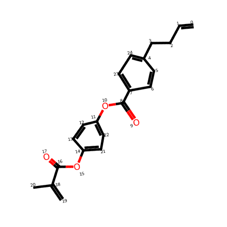 C=CCCc1ccc(C(=O)Oc2ccc(OC(=O)C(=C)C)cc2)cc1